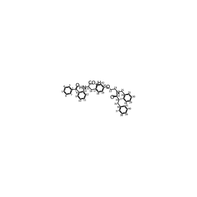 O=C(c1ccccc1)c1ccccc1NC(Cc1ccc(OCCN(Cc2ccccc2)C(=O)CCc2ccccc2)cc1)C(=O)O